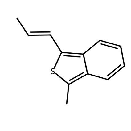 C/C=C/c1sc(C)c2ccccc12